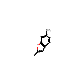 Cc1cc2ccc([N+](=O)[O-])cc2o1